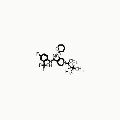 CC(C)(C)OC(=O)N1CCC2=C(C1)[N+](C1CCCCO1)=NC2Nc1ccc(F)cc1C(F)(F)F